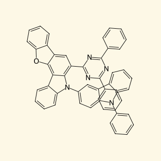 c1ccc(-c2nc(-c3ccccc3)nc(-c3cc4c5ccccc5oc4c4c5ccccc5n(-c5ccc6c(c5)c5ccccc5n6-c5ccccc5)c34)n2)cc1